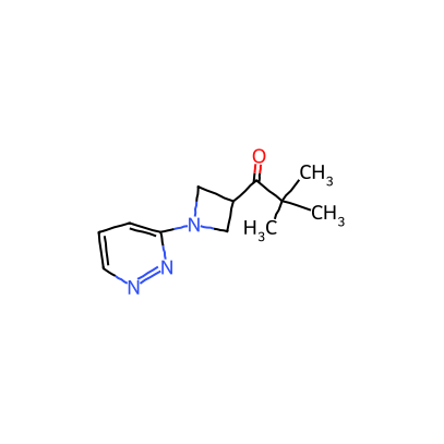 CC(C)(C)C(=O)C1CN(c2cccnn2)C1